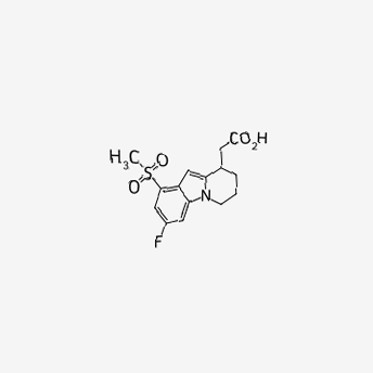 CS(=O)(=O)c1cc(F)cc2c1cc1n2CCCC1CC(=O)O